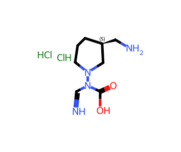 Cl.Cl.N=CN(C(=O)O)N1CCC[C@@H](CN)C1